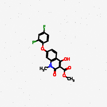 COC(=O)c1c(O)c2ccc(Oc3ccc(F)cc3F)cc2n(C)c1=O